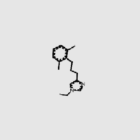 CCn1cnc(CCCc2c(C)cccc2C)c1